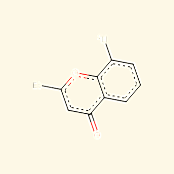 [2H]c1cccc2c(=O)cc(CC)oc12